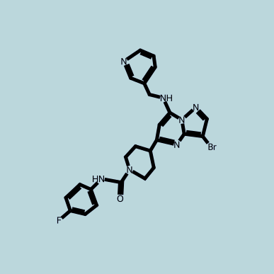 O=C(Nc1ccc(F)cc1)N1CCC(c2cc(NCc3cccnc3)n3ncc(Br)c3n2)CC1